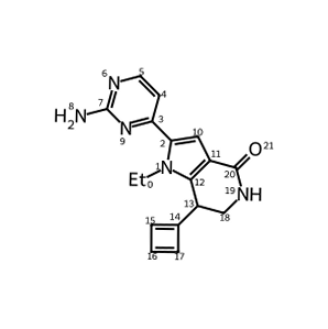 CCn1c(-c2ccnc(N)n2)cc2c1C(C1=CC=C1)CNC2=O